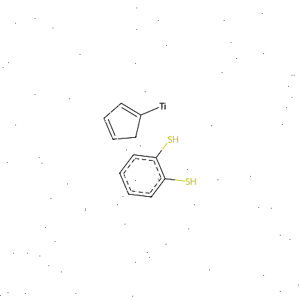 Sc1ccccc1S.[Ti][C]1=CC=CC1